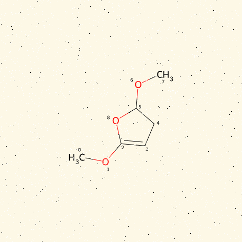 COC1=CCC(OC)O1